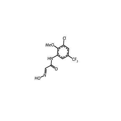 COc1c(Cl)cc(C(F)(F)F)cc1NC(=O)C=NO